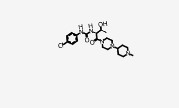 C[C@H](O)[C@H](NC(=O)Nc1ccc(Cl)cc1)C(=O)N1CCN(C2CCN(C)CC2)CC1